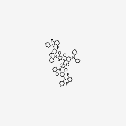 Fc1cccc(F)c1N(c1ccccc1)c1cc2c3c(c1)Oc1c(sc4c1Oc1cc(N(c5ccccc5)c5ccccc5)cc5c1B4c1sc4c(c1O5)Oc1cc(N(c5ccccc5)c5c(F)cccc5F)cc5c1B4c1ccccc1O5)B3c1ccccc1O2